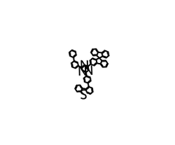 c1ccc(-c2cccc(-c3nc(-c4ccc(-c5cccc6sc7ccccc7c56)cc4)nc(-c4ccc5c(c4)-c4ccccc4C54c5ccccc5-c5ccccc54)n3)c2)cc1